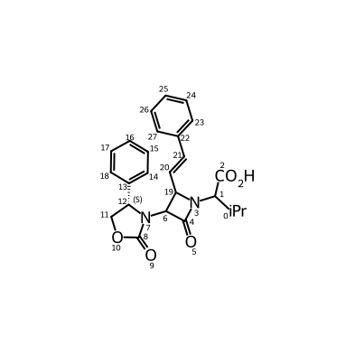 CC(C)C(C(=O)O)N1C(=O)C(N2C(=O)OC[C@@H]2c2ccccc2)C1C=Cc1ccccc1